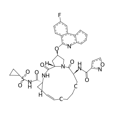 O=C(N[C@H]1CCCCC/C=C\[C@@H]2C[C@@]2(C(=O)NS(=O)(=O)C2CC2)NC(=O)[C@@H]2C[C@@H](Oc3nc4ccccc4c4cc(F)ccc34)CN2C1=O)c1ccon1